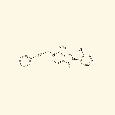 CC1=C2CN(c3ccccc3Cl)NC2=CCN1CC#Cc1ccccc1